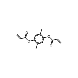 C=CC(=O)Oc1cc(C)c(OC(=O)C=C)cc1C